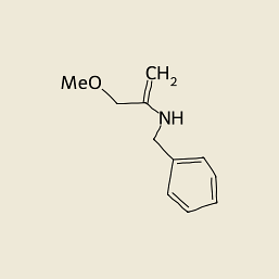 C=C(COC)NCc1ccccc1